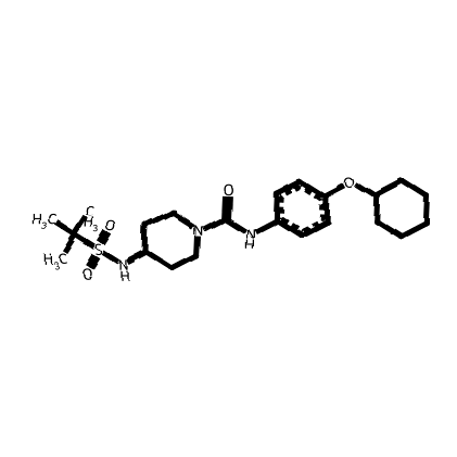 CC(C)(C)S(=O)(=O)NC1CCN(C(=O)Nc2ccc(OC3CCCCC3)cc2)CC1